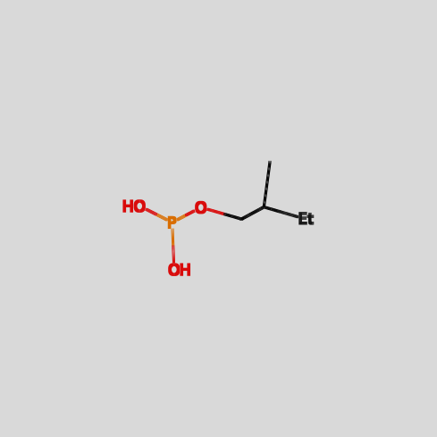 CCC(C)COP(O)O